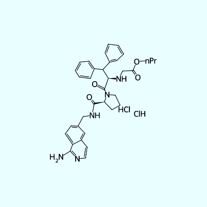 CCCOC(=O)CN[C@@H](C(=O)N1CCC[C@H]1C(=O)NCc1ccc2c(N)nccc2c1)C(c1ccccc1)c1ccccc1.Cl.Cl